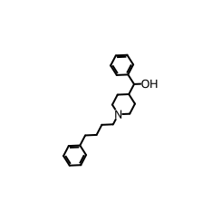 OC(c1ccccc1)C1CCN(CCCCc2ccccc2)CC1